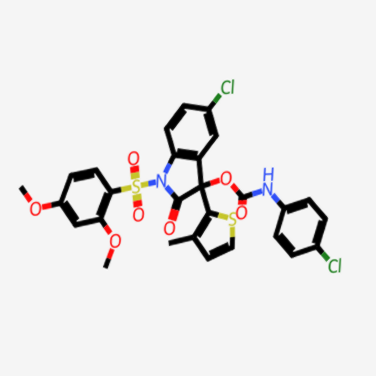 COc1ccc(S(=O)(=O)N2C(=O)C(OC(=O)Nc3ccc(Cl)cc3)(c3sccc3C)c3cc(Cl)ccc32)c(OC)c1